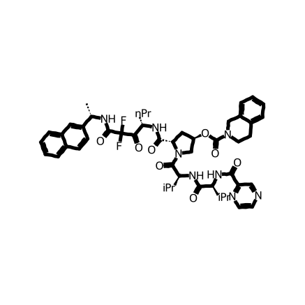 CCC[C@H](NC(=O)[C@@H]1C[C@@H](OC(=O)N2CCc3ccccc3C2)CN1C(=O)[C@@H](NC(=O)[C@@H](NC(=O)c1cnccn1)C(C)C)C(C)C)C(=O)C(F)(F)C(=O)N[C@@H](C)c1ccc2ccccc2c1